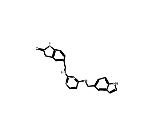 O=C1Cc2cc(CNc3nccc(NCc4ccc5[nH]ccc5c4)n3)ccc2N1